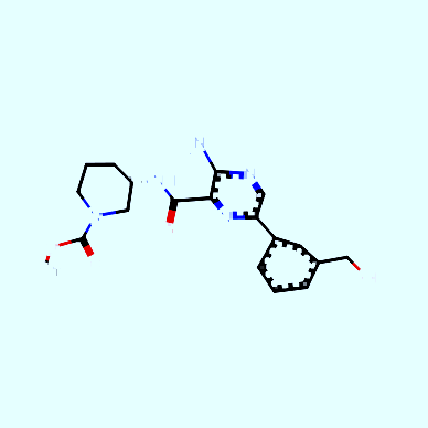 CC(C)OC(=O)N1CCC[C@H](NC(=O)c2nc(-c3cccc(CO)c3)cnc2N)C1